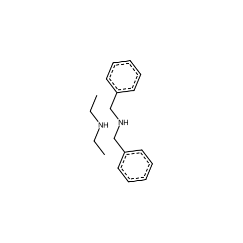 CCNCC.c1ccc(CNCc2ccccc2)cc1